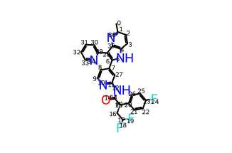 Cc1ccc2[nH]c(-c3ccnc(NC(=O)[C@H](CC(F)F)c4ccc(F)cc4)c3)c(-c3ccccn3)c2n1